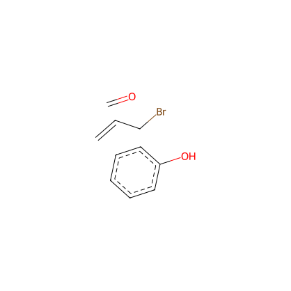 C=CCBr.C=O.Oc1ccccc1